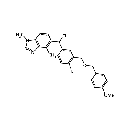 COc1ccc(COCc2cc(C(Cl)c3ccc4c(nnn4C)c3C)ccc2C)cc1